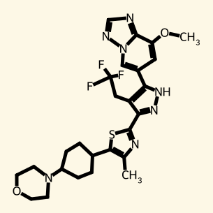 COc1cc(-c2[nH]nc(-c3nc(C)c(C4CCC(N5CCOCC5)CC4)s3)c2CC(F)(F)F)cn2ncnc12